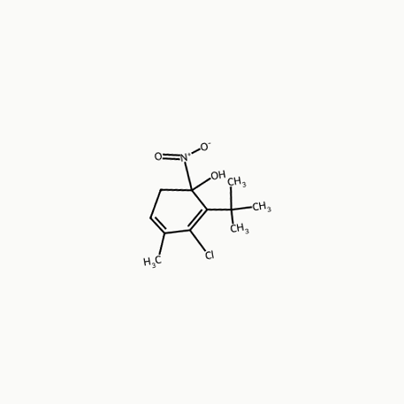 CC1=CCC(O)([N+](=O)[O-])C(C(C)(C)C)=C1Cl